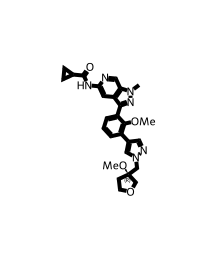 COc1c(-c2cnn(C[C@]3(OC)CCOC3)c2)cccc1-c1nn(C)c2cnc(NC(=O)C3CC3)cc12